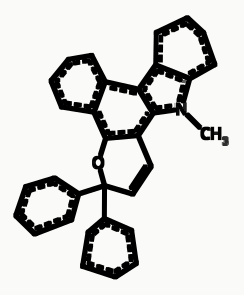 Cn1c2ccccc2c2c3ccccc3c3c(c21)C=CC(c1ccccc1)(c1ccccc1)O3